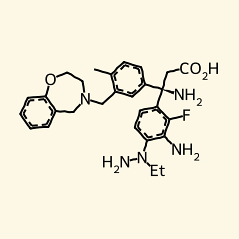 CCN(N)c1ccc([C@@](N)(CC(=O)O)c2ccc(C)c(CN3CCOc4ccccc4C3)c2)c(F)c1N